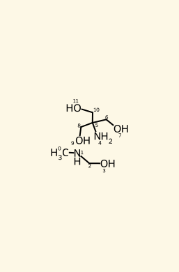 CNCO.NC(CO)(CO)CO